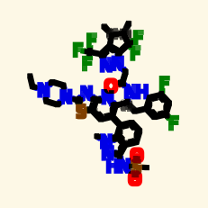 CCN1CCN(c2nc3nc([C@H](Cc4cc(F)cc(F)c4)NC(=O)Cn4nc(C(F)(F)F)c5c4C(F)(F)[C@H](C)[C@@H]5C)c(-c4cccc5c(NS(C)(=O)=O)nn(C)c45)cc3s2)CC1